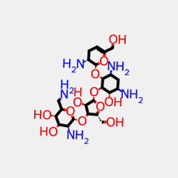 NCC1O[C@H](O[C@H]2[C@@H](O)[C@H](O[C@@H]3[C@@H](O)[C@H](N)C[C@H](N)[C@H]3O[C@H]3OC(CO)=CC[C@H]3N)O[C@@H]2CO)[C@H](N)[C@@H](O)[C@@H]1O